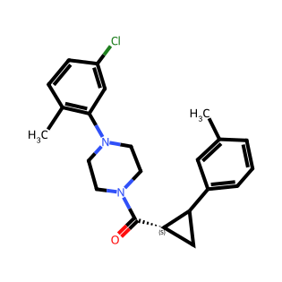 Cc1cccc(C2C[C@@H]2C(=O)N2CCN(c3cc(Cl)ccc3C)CC2)c1